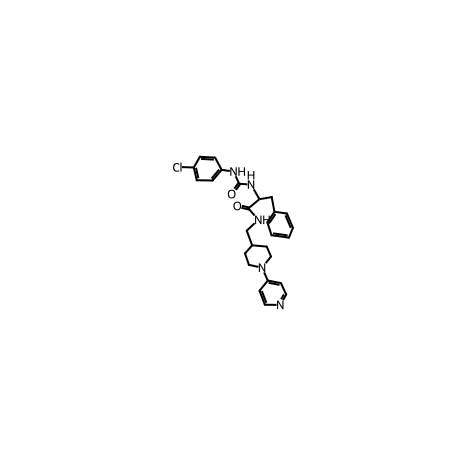 O=C(Nc1ccc(Cl)cc1)NC(Cc1ccccc1)C(=O)NCC1CCN(c2ccncc2)CC1